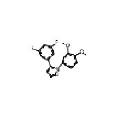 COc1ccc(-n2nccc2-c2cc(F)cc(F)c2)cc1OC